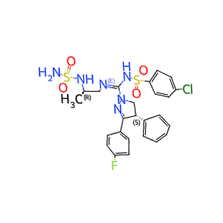 C[C@H](C/N=C(/NS(=O)(=O)c1ccc(Cl)cc1)N1C[C@H](c2ccccc2)C(c2ccc(F)cc2)=N1)NS(N)(=O)=O